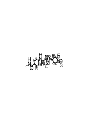 CNC(=O)c1ccc(Nc2nccn3c(-c4ccc(OC)c(F)c4F)cnc23)cc1C